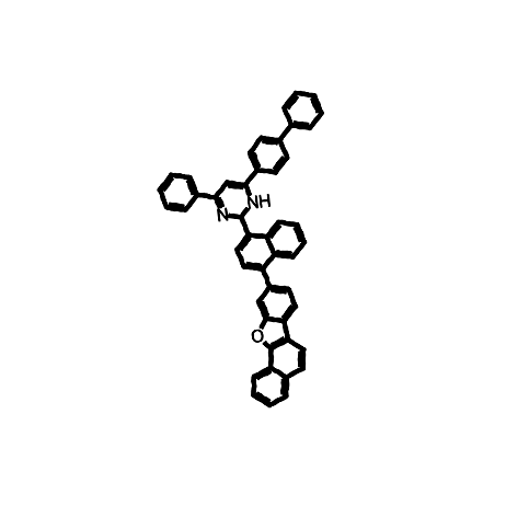 C1=C(c2ccc(-c3ccccc3)cc2)NC(c2ccc(-c3ccc4c(c3)oc3c5ccccc5ccc43)c3ccccc23)N=C1c1ccccc1